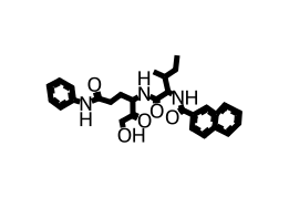 CCC(C)C(NC(=O)c1ccc2ccccc2c1)C(=O)NC(CCC(=O)Nc1ccccc1)C(=O)CO